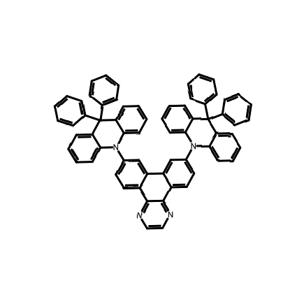 c1ccc(C2(c3ccccc3)c3ccccc3N(c3ccc4c(c3)c3cc(N5c6ccccc6C(c6ccccc6)(c6ccccc6)c6ccccc65)ccc3c3nccnc43)c3ccccc32)cc1